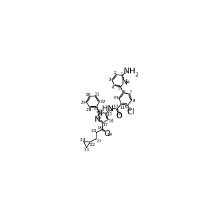 Nc1cccc(-c2ccc(Cl)c(C(=O)Nc3cc(C(=O)CCC4CC4)nn3-c3ccccc3)c2)n1